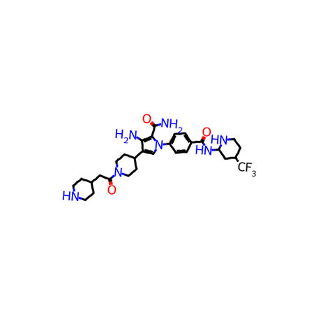 NC(=O)c1c(N)c(C2CCN(C(=O)CC3CCNCC3)CC2)cn1-c1ccc(C(=O)NC2CC(C(F)(F)F)CCN2)cc1